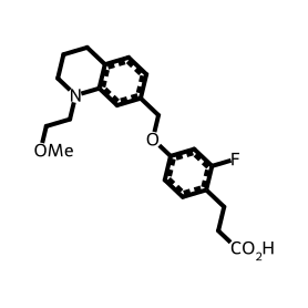 COCCN1CCCc2ccc(COc3ccc(CCC(=O)O)c(F)c3)cc21